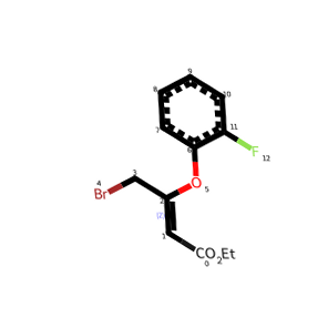 CCOC(=O)/C=C(/CBr)Oc1ccccc1F